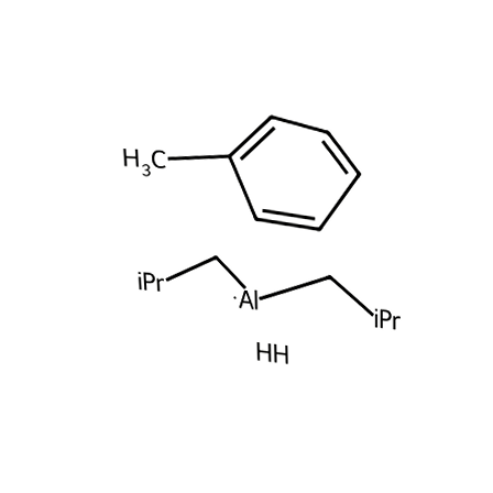 CC(C)[CH2][Al][CH2]C(C)C.Cc1ccccc1.[HH]